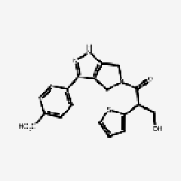 O=C(O)c1ccc(-c2n[nH]c3c2CN(C(=O)C(CO)c2cccs2)C3)cc1